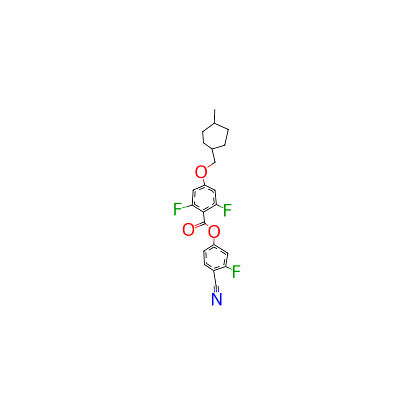 CC1CCC(COc2cc(F)c(C(=O)Oc3ccc(C#N)c(F)c3)c(F)c2)CC1